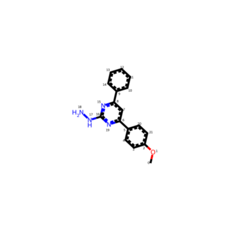 COc1ccc(-c2cc(-c3ccccc3)nc(NN)n2)cc1